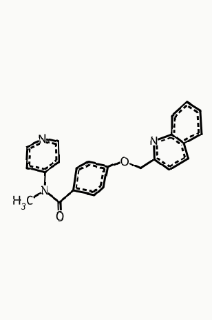 CN(C(=O)c1ccc(OCc2ccc3ccccc3n2)cc1)c1ccncc1